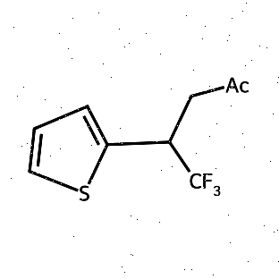 CC(=O)CC(c1cccs1)C(F)(F)F